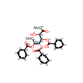 COC(=O)[C@H](O)[C@@H](OC(=O)c1ccccc1)[C@H](OC(=O)c1ccccc1)[C@H](C=O)OC(=O)c1ccccc1